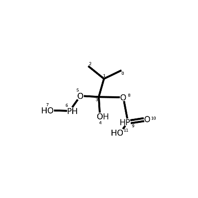 CC(C)C(O)(OPO)O[PH](=O)O